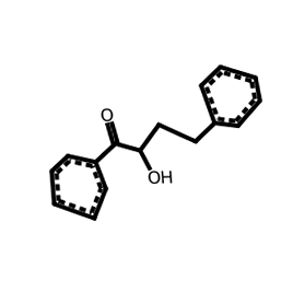 O=C(c1ccccc1)C(O)CCc1ccccc1